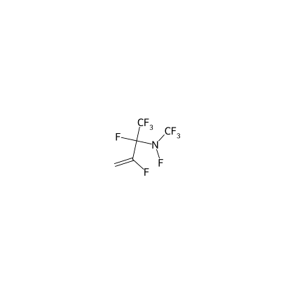 C=C(F)C(F)(N(F)C(F)(F)F)C(F)(F)F